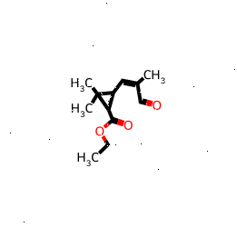 CCOC(=O)C1C(C=C(C)C=O)C1(C)C